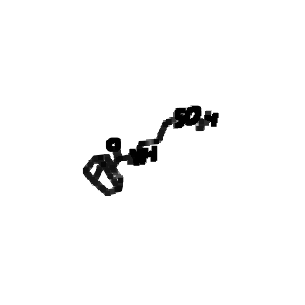 O=C(NCCCS(=O)(=O)O)C12CC3CC(CC(C3)C1)C2